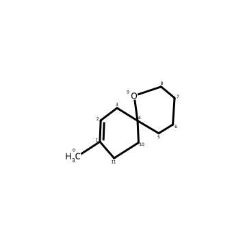 CC1=CCC2(CCCCO2)CC1